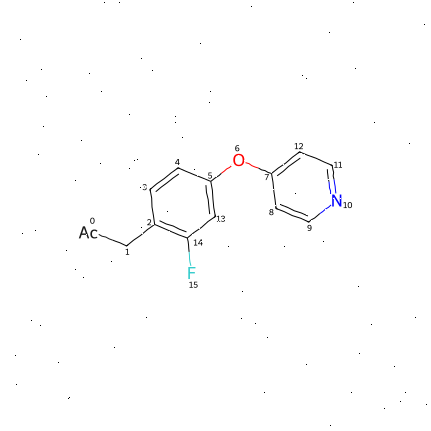 CC(=O)Cc1ccc(Oc2ccncc2)cc1F